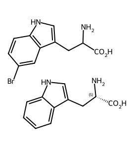 NC(Cc1c[nH]c2ccc(Br)cc12)C(=O)O.N[C@@H](Cc1c[nH]c2ccccc12)C(=O)O